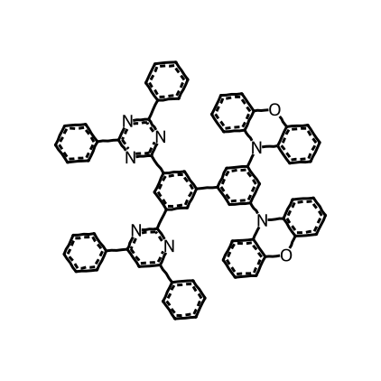 c1ccc(-c2cc(-c3ccccc3)nc(-c3cc(-c4cc(N5c6ccccc6Oc6ccccc65)cc(N5c6ccccc6Oc6ccccc65)c4)cc(-c4nc(-c5ccccc5)nc(-c5ccccc5)n4)c3)n2)cc1